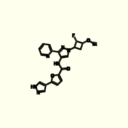 CCOC1CC(n2cc(NC(=O)c3ccc(-c4cn[nH]c4)o3)c(-c3ccccn3)n2)C1F